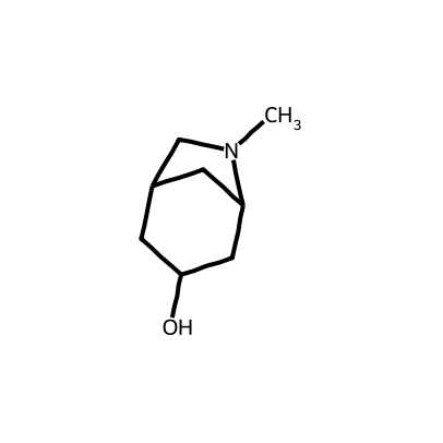 CN1CC2CC(O)CC1C2